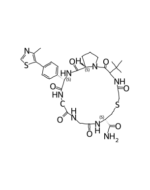 Cc1ncsc1-c1ccc([C@@H]2NC(=O)[C@@H]3CCCN3C(=O)C(C(C)(C)C)NC(=O)CSC[C@H](C(N)=O)NC(=O)CNC(=O)CNC2=O)cc1